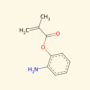 C=C(C)C(=O)Oc1ccccc1N